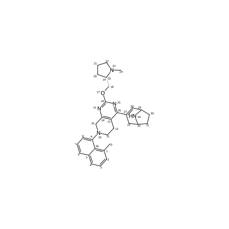 Cc1cccc2cccc(N3CCc4c(nc(OC[C@@H]5CCCN5C)nc4C4=CC5CCC(C4)N5)C3)c12